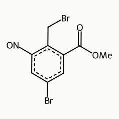 COC(=O)c1cc(Br)cc(N=O)c1CBr